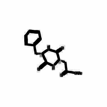 COC(=O)C[C@@H]1NC(=O)[C@H](Cc2ccccc2)NC1=O